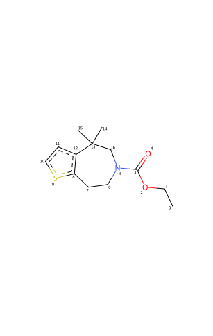 CCOC(=O)N1CCc2sccc2C(C)(C)C1